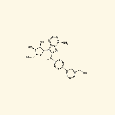 CN(c1ccc(-c2cccc(CO)c2)cc1)c1nc2c(N)ncnc2n1[C@@H]1O[C@H](CO)[C@@H](O)[C@H]1O